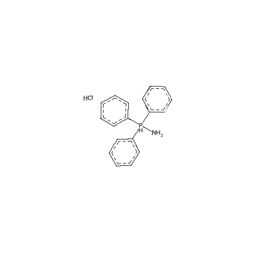 Cl.N[PH](c1ccccc1)(c1ccccc1)c1ccccc1